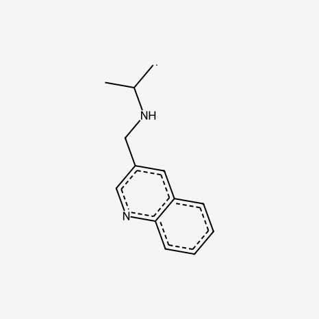 [CH2]C(C)NCc1cnc2ccccc2c1